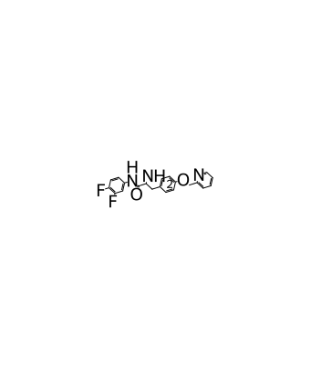 NC(Cc1ccc(OCc2ccccn2)cc1)C(=O)Nc1ccc(F)c(F)c1